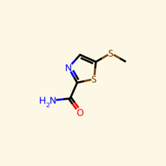 CSc1cnc(C(N)=O)s1